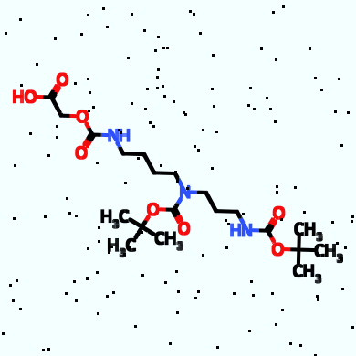 CC(C)(C)OC(=O)NCCCN(CCCCNC(=O)OCC(=O)O)C(=O)OC(C)(C)C